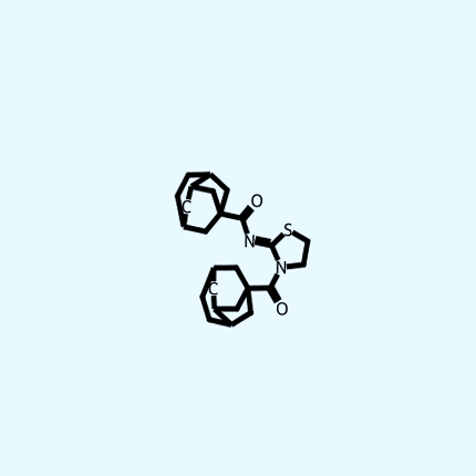 O=C(/N=C1\SCCN1C(=O)C12CC3CCC(C1)C(C3)C2)C12CC3CCC(C1)C(C3)C2